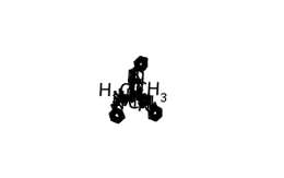 CC(c1cn(Cc2ccccc2)nn1)N(C(C)c1cn(Cc2ccccc2)nn1)C(C)c1cn(Cc2ccccc2)nn1